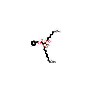 CCCCCCCCCCCCCCCCCC(=O)OC(C(=O)OCc1ccccc1)C(OC(=O)CCCCCCCCCCCCCCC)C(C)=O